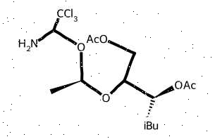 CC[C@@H](C)[C@H](OC(C)=O)C(COC(C)=O)O[C@@H](C)OC(N)C(Cl)(Cl)Cl